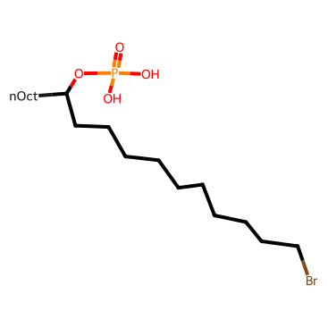 CCCCCCCCC(CCCCCCCCCCBr)OP(=O)(O)O